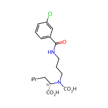 CC(C)C[C@@H](C(=O)O)N(CCCNC(=O)c1cccc(Cl)c1)C(=O)O